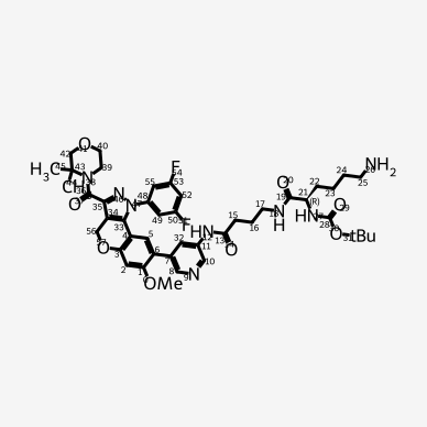 COc1cc2c(cc1-c1cncc(NC(=O)CCCNC(=O)[C@@H](CCCCN)NC(=O)OC(C)(C)C)c1)-c1c(c(C(=O)N3CCOCC3(C)C)nn1-c1cc(F)cc(F)c1)CO2